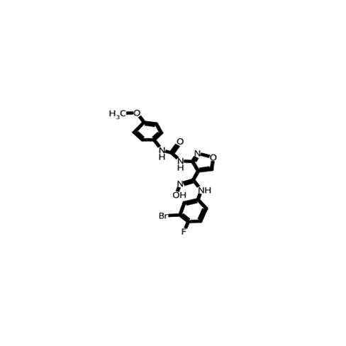 COc1ccc(NC(=O)Nc2nocc2/C(=N/O)Nc2ccc(F)c(Br)c2)cc1